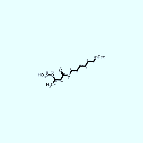 CCCCCCCCCCCCCCCCOC(=O)CC(C)OS(=O)(=O)O